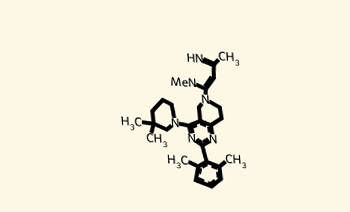 CN/C(=C\C(C)=N)N1CCc2nc(-c3c(C)cccc3C)nc(N3CCCC(C)(C)C3)c2C1